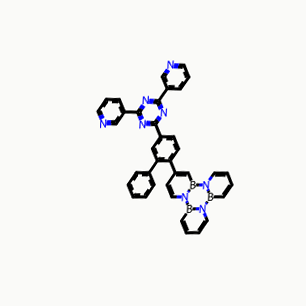 C1=CB2N3C=CC=CB3N3C=CC(c4ccc(-c5nc(-c6cccnc6)nc(-c6cccnc6)n5)cc4-c4ccccc4)=CB3N2C=C1